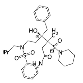 CC(C)CN(CC[C@](O)(Cc1ccccc1)C(C)(CC(N)=O)S(=O)(=O)N1CCCCC1)S(=O)(=O)c1ccccc1